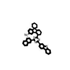 N#Cc1ccc2c(c1)C1=C(c3nc(-c4ccc5ccccc5c4)nc(-c4ccc5c(c4)sc4ccccc45)n3)CCC=C1C21CCCCC1